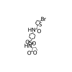 O=C(Nc1ccc(S(=O)(=O)NC2CCOC2=O)cc1)c1ccc(Br)s1